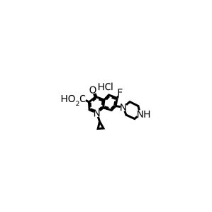 Cl.O=C(O)c1cn(C2CC2)c2cc(N3CCNCC3)c(F)cc2c1=O